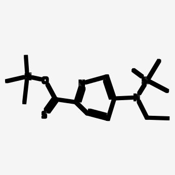 CCN(c1ccc(C(=S)O[Si](C)(C)C)nc1)[Si](C)(C)C